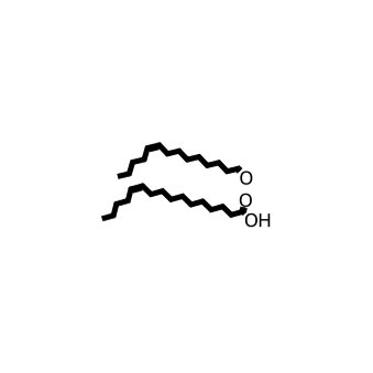 CCCC/C=C\CCCCCCCC=O.CCCC/C=C\CCCCCCCCCC(=O)O